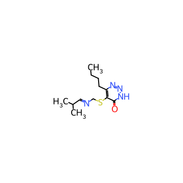 CCCCc1nn[nH]c(=O)c1SCN=CC(C)C